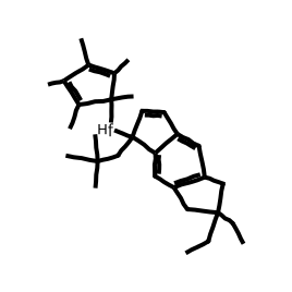 CCC1(CC)Cc2cc3c(cc2C1)[C](CC(C)(C)C)([Hf][C]1(C)C(C)=C(C)C(C)=C1C)C=C3